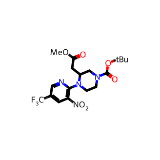 COC(=O)CC1CN(C(=O)OC(C)(C)C)CCN1c1ncc(C(F)(F)F)cc1[N+](=O)[O-]